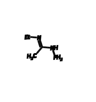 CC/N=C(\C)NP